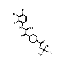 CC(C)(C)OC(=O)N1CCC(C(=O)C(=N)Nc2ccc(F)c(Br)c2F)CC1